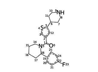 O=C(c1csc(C2CCNCC2)c1)N1CCCCC1c1ccc(F)cc1